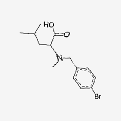 CC(C)CC(C(=O)O)N(C)Cc1ccc(Br)cc1